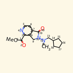 COC(=O)c1nccc2c1CN(N(C)CC1CCCC1)C2=O